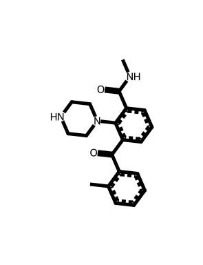 CNC(=O)c1cccc(C(=O)c2ccccc2C)c1N1CCNCC1